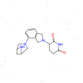 O=C1CCC(N2Cc3cccc(N4CC5CC(C4)N5)c3C2)C(=O)N1